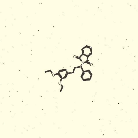 CCOc1ccc(CCC(c2ccccc2)N2C(=O)c3ccccc3C2=O)cc1OCC